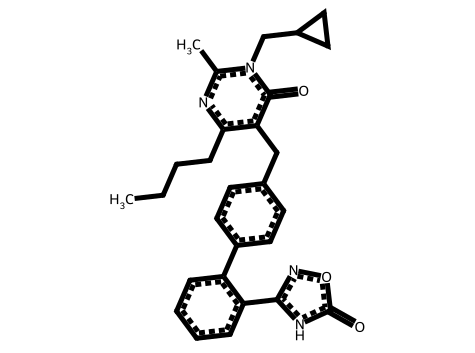 CCCCc1nc(C)n(CC2CC2)c(=O)c1Cc1ccc(-c2ccccc2-c2noc(=O)[nH]2)cc1